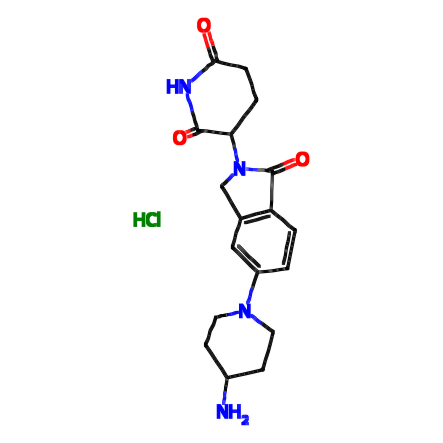 Cl.NC1CCN(c2ccc3c(c2)CN(C2CCC(=O)NC2=O)C3=O)CC1